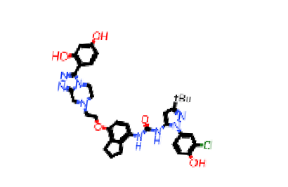 CC(C)(C)c1cc(NC(=O)Nc2ccc(OCCN3CCn4c(nnc4-c4ccc(O)cc4O)C3)c3c2CCC3)n(-c2ccc(O)c(Cl)c2)n1